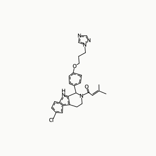 CC(C)=CC(=O)N1CCc2c([nH]c3ccc(Cl)cc23)C1c1ccc(OCCCn2cncn2)cc1